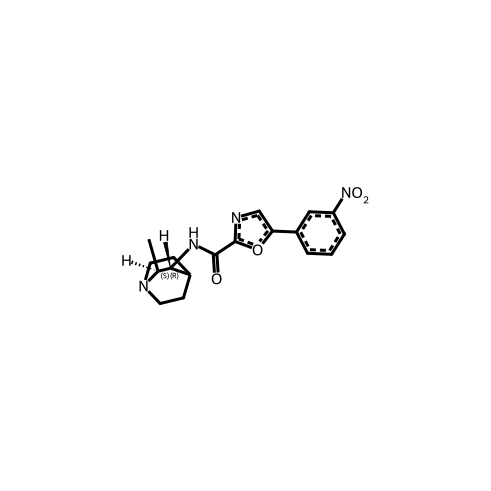 C[C@H]1[C@H](NC(=O)c2ncc(-c3cccc([N+](=O)[O-])c3)o2)C2CCN1CC2